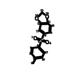 Cc1ccc(S(=O)(=O)c2ccc3c(c2)OCO3)cc1